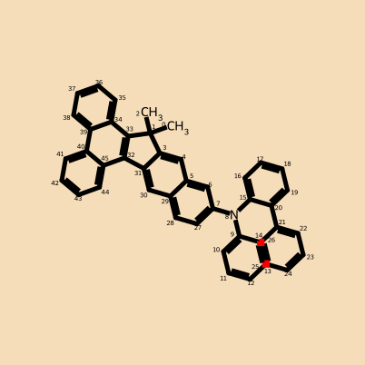 CC1(C)c2cc3cc(N(c4ccccc4)c4ccccc4-c4ccccc4)ccc3cc2-c2c1c1ccccc1c1ccccc21